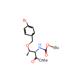 COC(=O)[C@H](NC(=O)OC(C)(C)C)[C@@H](C)OCc1ccc(Br)cc1